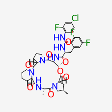 C[C@@H]1C[C@H]2C(=O)O[C@@H](C)[C@H](NC(=O)[C@H](Cc3cc(F)cc(F)c3)NC(=O)Nc3ccc(Cl)cc3F)C(=O)N3CCC[C@H]3C(=O)N3CCCC[C@H]3C(=O)N[C@@H](C)C(=O)N2C1